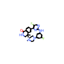 CN1CCN(c2cc(F)cc(Nc3ncc(F)c(-c4ccc5c(c4)C(C)(C)CNC5=O)n3)c2)CC1